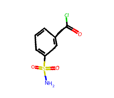 NS(=O)(=O)c1cccc(C(=O)Cl)c1